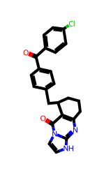 O=C(c1ccc(Cl)cc1)c1ccc(CC2CCCc3nc4[nH]ccn4c(=O)c32)cc1